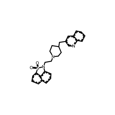 O=S1(=O)c2cccc3cccc(c23)N1CCN1CCC(Cc2cnc3ccccc3c2)CC1